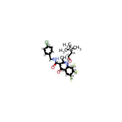 Cc1c(C(=O)NCc2ccc(Cl)cc2)c(=O)c2cc(F)c(F)c(F)c2n1OCC[Si](C)(C)C